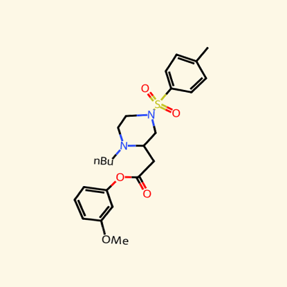 CCCCN1CCN(S(=O)(=O)c2ccc(C)cc2)CC1CC(=O)Oc1cccc(OC)c1